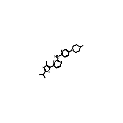 Cc1nc(C(C)C)sc1-c1ccnc(Nc2ccc(N3CCN(C)CC3)cn2)n1